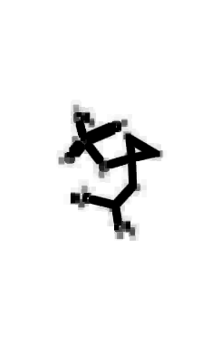 CC(C)CC1(OS(C)(=O)=O)CC1